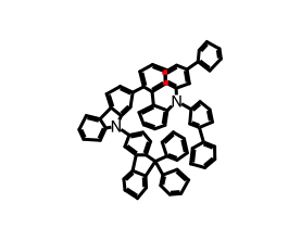 c1ccc(-c2cccc(N(c3cccc(-c4ccccc4)c3)c3ccccc3-c3ccccc3-c3ccc4c5ccccc5n(-c5ccc6c(c5)-c5ccccc5C6(c5ccccc5)c5ccccc5)c4c3)c2)cc1